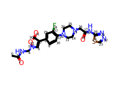 CC(=O)NCn1cc(-c2ccc(N3CCN(CC(=O)Nc4nncs4)CC3)c(F)c2)c(=O)o1